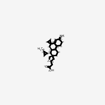 CCC1(CCCC(=O)O)CCC2C3CCC(=N)C=C3C3(CC3)CC2C1[C@@H]1C[C@@H]1C